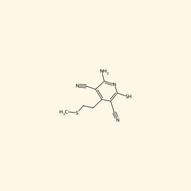 CSCCc1c(C#N)c(N)nc(S)c1C#N